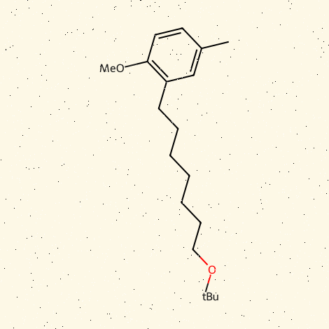 COc1ccc(C)cc1CCCCCCCOC(C)(C)C